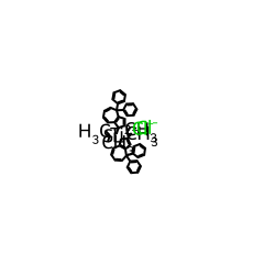 CC1=CC2=C(C=CC=CC2(c2ccccc2)c2ccccc2)[CH]1[Ti+2]([CH]1C(C)=CC2=C1C=CC=CC2(c1ccccc1)c1ccccc1)=[Si](C)C.[Cl-].[Cl-]